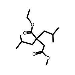 CCOC(=O)C(CC(=O)OC)(CC(C)C)CC(C)C